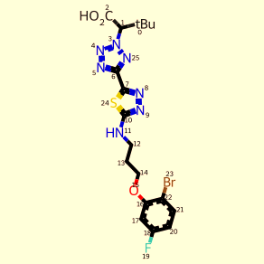 CC(C)(C)C(C(=O)O)n1nnc(-c2nnc(NCCCOc3cc(F)ccc3Br)s2)n1